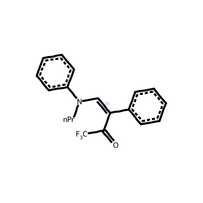 CCCN(/C=C(\C(=O)C(F)(F)F)c1ccccc1)c1ccccc1